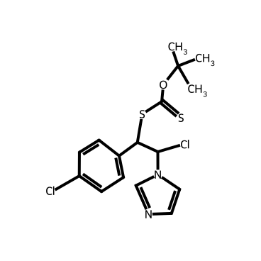 CC(C)(C)OC(=S)SC(c1ccc(Cl)cc1)C(Cl)n1ccnc1